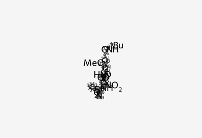 COc1cc(CCC(=O)NCC(C)(C)C)ccc1-c1ccc(C(=O)NS(=O)(=O)c2ccc(N[C@@H](CSc3ccccc3)CC(=O)N(C)C)c([N+](=O)[O-])c2)cc1